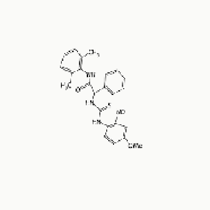 COc1ccc(NC(=S)NC(C(=O)Nc2c(C)cccc2C)c2ccccc2)c(N=O)c1